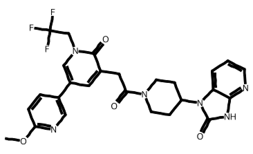 COc1ccc(-c2cc(CC(=O)N3CCC(n4c(=O)[nH]c5ncccc54)CC3)c(=O)n(CC(F)(F)F)c2)cn1